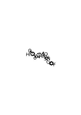 C=C(C(=O)Nc1nnc(Oc2ccc(F)cc2)s1)N1CCN(C(=O)c2ccc(=O)[nH]c2)C(C)(C)C1